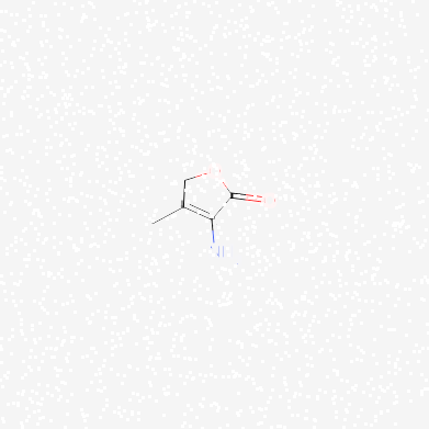 CC1=C(N)C(=O)OC1